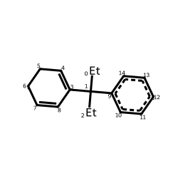 CCC(CC)(C1=CC[CH]C=C1)c1cc[c]cc1